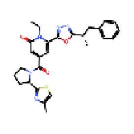 CCn1c(-c2nnc([C@@H](C)Cc3ccccc3)o2)cc(C(=O)N2CCC[C@@H]2c2nc(C)cs2)cc1=O